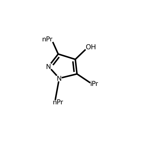 CCCc1nn(CCC)c(C(C)C)c1O